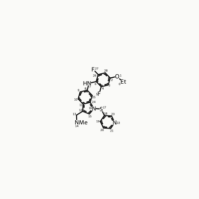 CCOc1cc(F)c(Nc2ccc3c(CNC)cn(Sc4cccnc4)c3c2)c(F)c1